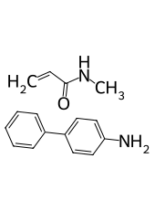 C=CC(=O)NC.Nc1ccc(-c2ccccc2)cc1